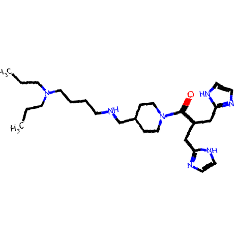 CCCN(CCC)CCCCNCC1CCN(C(=O)C(Cc2ncc[nH]2)Cc2ncc[nH]2)CC1